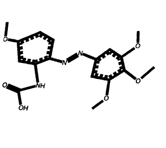 COc1ccc(N=Nc2cc(OC)c(OC)c(OC)c2)c(NC(=O)O)c1